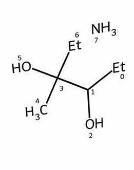 CCC(O)C(C)(O)CC.N